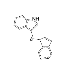 C1=C[CH]([Zr][c]2c[nH]c3ccccc23)c2ccccc21